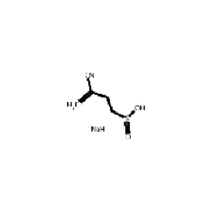 C=C(C#N)CCS(=O)O.[NaH]